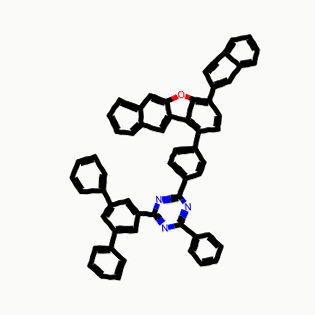 c1ccc(-c2cc(-c3ccccc3)cc(-c3nc(-c4ccccc4)nc(-c4ccc(-c5ccc(-c6ccc7ccccc7c6)c6oc7cc8ccccc8cc7c56)cc4)n3)c2)cc1